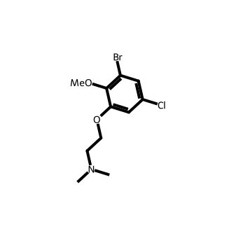 COc1c(Br)cc(Cl)cc1OCCN(C)C